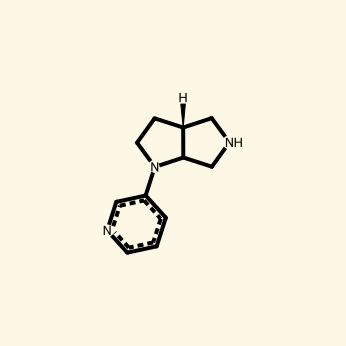 c1cncc(N2CC[C@@H]3CNCC32)c1